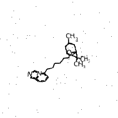 CC1CCC2C(C)(C)C2(OCCCCCCc2cccc3cncn23)C1